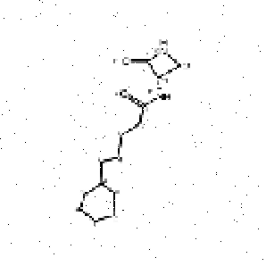 O=C(CCCCC1CCCCC1)N[C@H]1CNC1=O